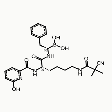 CC(C)(C#N)C(=O)NCCCC[C@H](NC(=O)c1cccc(O)n1)C(=O)N[C@@H](Cc1ccccc1)B(O)O